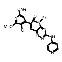 CCn1c(=O)c(-c2cc(OC)nc(OC)c2Cl)cc2nnc(Nc3ccncc3)nc21